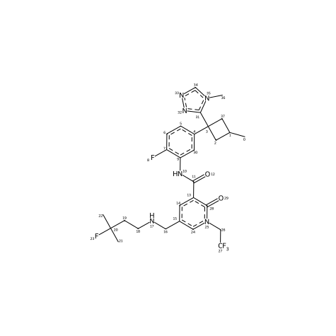 CC1CC(c2ccc(F)c(NC(=O)c3cc(CNCCC(C)(C)F)cn(CC(F)(F)F)c3=O)c2)(c2nncn2C)C1